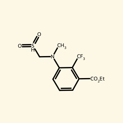 CCOC(=O)c1cccc(N(C)C[SH](=O)=O)c1C(F)(F)F